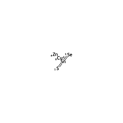 [Cu].[S]=[Sn]=[Se].[Zn]